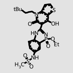 CCOP1(=O)N=C(c2c(O)c3sccc3n(CCC(C)(C)C)c2=O)Nc2ccc(NS(C)(=O)=O)cc21